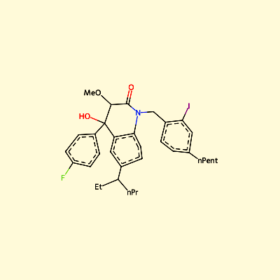 CCCCCc1ccc(CN2C(=O)C(OC)C(O)(c3ccc(F)cc3)c3cc(C(CC)CCC)ccc32)c(I)c1